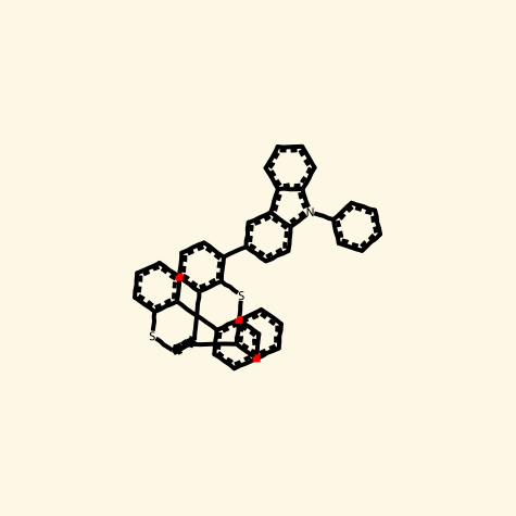 c1ccc(-c2cccc3c2C2(c4ccccc4S3)c3ccccc3Sc3c(-c4ccc5c(c4)c4ccccc4n5-c4ccccc4)cccc32)cc1